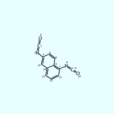 O=C=Nc1ccc2c(N=C=O)cccc2c1